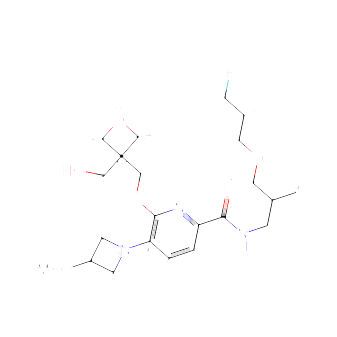 COC1CN(c2ccc(C(=O)N[C@@H](C)C(C)COCCCF)nc2OCC2(CO)COC2)C1